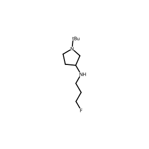 CC(C)(C)N1CCC(NCCCF)C1